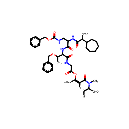 CCCCCC/C(OC(=O)CNC(=O)C(NC(=O)C(CNC(=O)OCc1ccccc1)NC(=O)C(NC)C1CCCCCC1)C(C)OCc1ccccc1)=C(\C)C(=O)N(C)C(C=O)CC(C)C